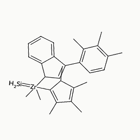 CC1=C(C)C(C)[C]([Zr]([CH3])([CH3])(=[SiH2])[CH]2C=C(c3ccc(C)c(C)c3C)c3ccccc32)=C1C